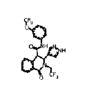 O=C(Nc1cccc(OC(F)(F)F)c1)C1c2ccccc2C(=O)N(CC(F)(F)F)C1c1cn[nH]c1